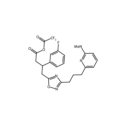 CNc1cccc(CCCc2noc(CC(CC(=O)OC(=O)C(F)(F)F)c3cccc(F)c3)n2)n1